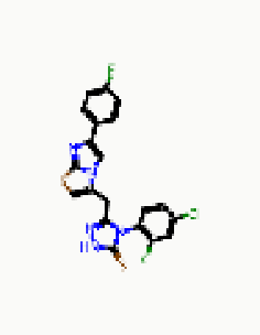 Fc1ccc(-c2cn3c(Cc4n[nH]c(=S)n4-c4ccc(Cl)cc4Cl)csc3n2)cc1